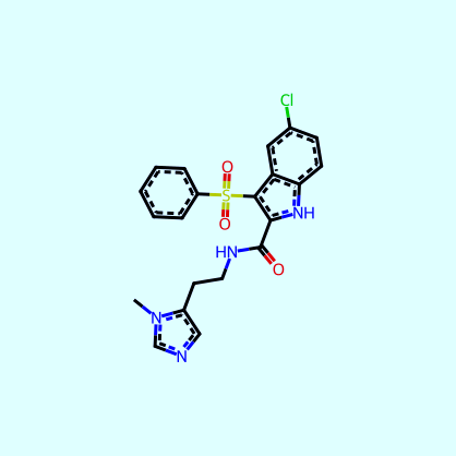 Cn1cncc1CCNC(=O)c1[nH]c2ccc(Cl)cc2c1S(=O)(=O)c1ccccc1